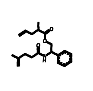 C=CCC(C)C(=O)OCC(NC(=O)CCC(=C)C)c1ccccc1